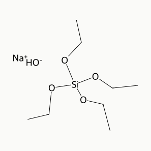 CCO[Si](OCC)(OCC)OCC.[Na+].[OH-]